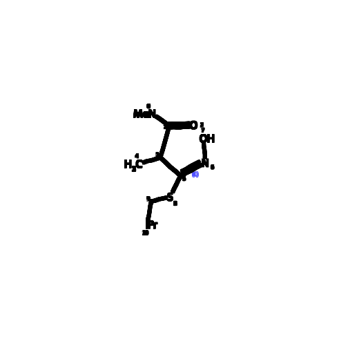 CNC(=O)C(C)/C(=N\O)SCC(C)C